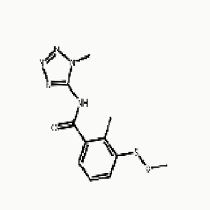 COSc1cccc(C(=O)Nc2nnnn2C)c1C